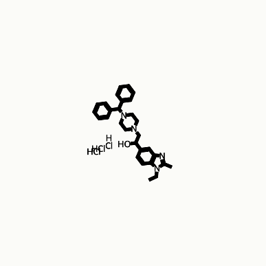 CCn1c(C)nc2cc(C(O)CN3CCN(C(c4ccccc4)c4ccccc4)CC3)ccc21.Cl.Cl.Cl